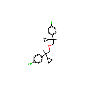 CC(COCC(C)(c1ccc(Cl)cc1)C1CC1)(c1ccc(Cl)cc1)C1CC1